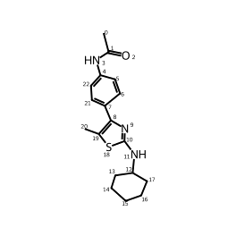 CC(=O)Nc1ccc(-c2nc(NC3CCCCC3)sc2C)cc1